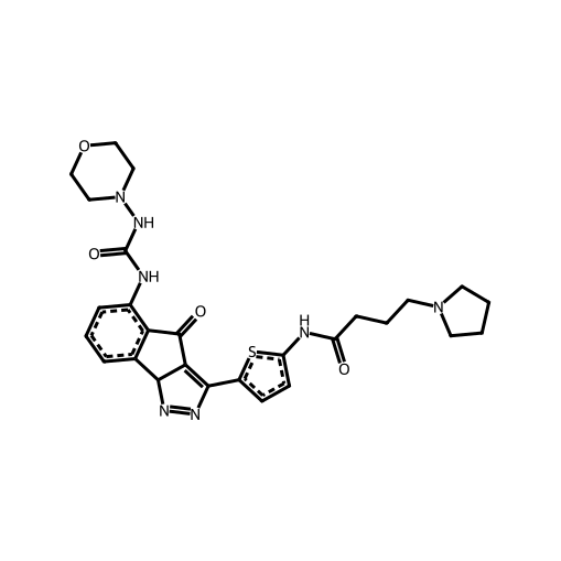 O=C(CCCN1CCCC1)Nc1ccc(C2=C3C(=O)c4c(NC(=O)NN5CCOCC5)cccc4C3N=N2)s1